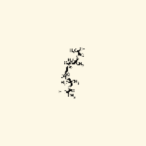 CC(C)C(=O)SCC(C)(C)COS(=O)(=O)CCCS(=O)(=O)OCC(C)(C)CSC(=O)C(C)C